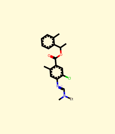 CCN(C)/C=N/c1cc(C)c(C(=O)OC(C)c2ccccc2C)cc1Cl